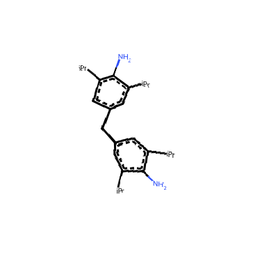 CC(C)c1cc(Cc2cc(C(C)C)c(N)c(C(C)C)c2)cc(C(C)C)c1N